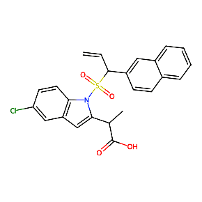 C=CC(c1ccc2ccccc2c1)S(=O)(=O)n1c(C(C)C(=O)O)cc2cc(Cl)ccc21